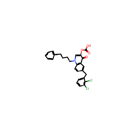 O=C(O)Oc1cn(CCCCc2ccccc2)c2ccc(Cc3cccc(Cl)c3Cl)cc2c1=O